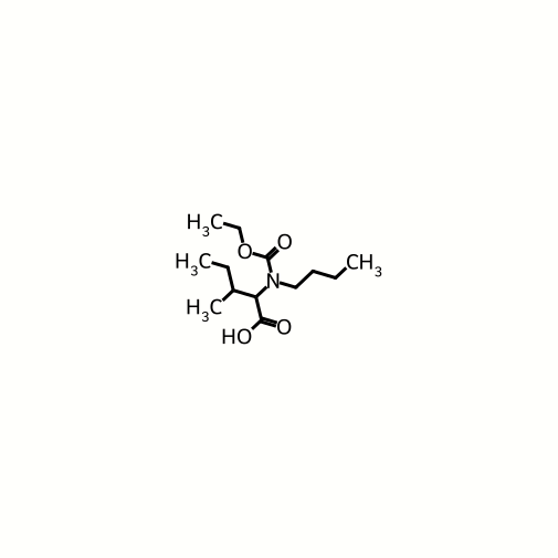 CCCCN(C(=O)OCC)C(C(=O)O)C(C)CC